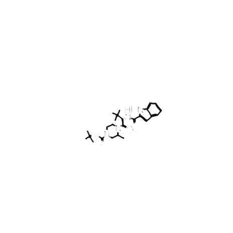 CC1CN(C(=O)OC(C)(C)C)CCN1C(=O)[C@@H](NC(=O)c1cc2ccccc2[nH]1)C(C)(C)C